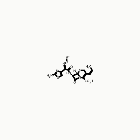 C/C=C\C1=C(C(=O)O)N2C(=O)[C@@H](NC(=O)/C(=N\OC(C)C)c3csc(N)n3)[C@H]2SC1